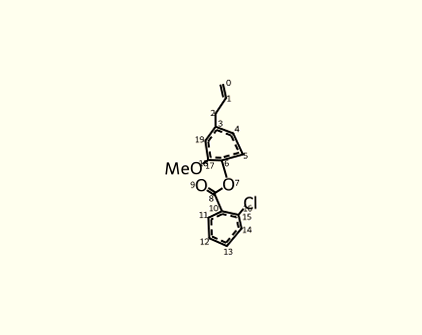 C=CCc1ccc(OC(=O)c2ccccc2Cl)c(OC)c1